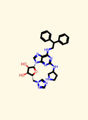 O[C@@H]1[C@H](O)[C@@H](Cn2cncn2)O[C@H]1n1cnc2c(NCC(c3ccccc3)c3ccccc3)nc(NC3CCNC3)nc21